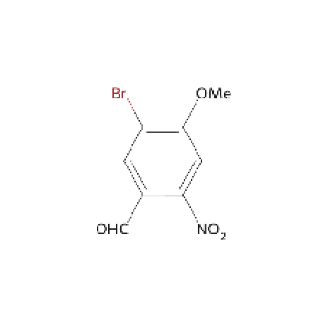 COc1cc([N+](=O)[O-])c(C=O)cc1Br